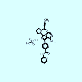 CC#CC(=O)N1CCCC1c1nc(-c2ccc(C(=O)Nc3ccccn3)cc2)c2c(N)nccn12.O=S(=O)(O)O